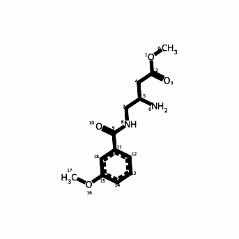 COC(=O)CC(N)CNC(=O)c1cccc(OC)c1